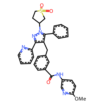 COc1ccc(NC(=O)c2cccc(Cc3c(-c4ccccn4)nn(C4CCS(=O)(=O)C4)c3-c3ccccc3)c2)cn1